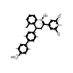 Cc1ccccc1C(C/C(=N/O)c1cc(Cl)nc(Cl)c1)c1ccc(-c2ccc(C(=O)O)cc2)cc1